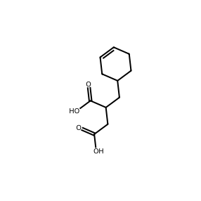 O=C(O)CC(CC1CC=CCC1)C(=O)O